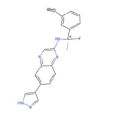 COc1cccc([C@@](C)(I)Nc2cnc3cc(-c4cn[nH]c4)ccc3n2)c1